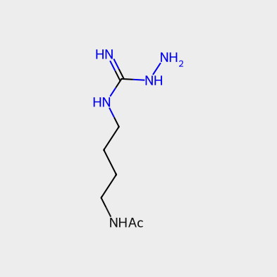 CC(=O)NCCCCNC(=N)NN